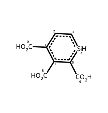 O=C(O)c1cc[siH]c(C(=O)O)c1C(=O)O